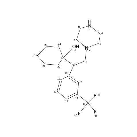 OC1(C(CN2CCNCC2)c2cccc(C(F)(F)F)c2)CCCCC1